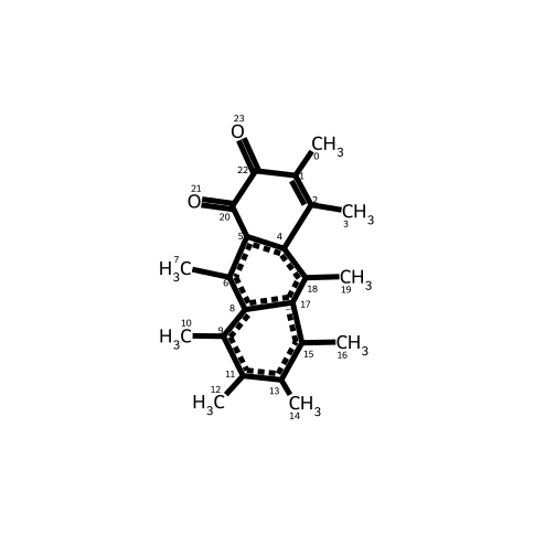 CC1=C(C)c2c(c(C)c3c(C)c(C)c(C)c(C)c3c2C)C(=O)C1=O